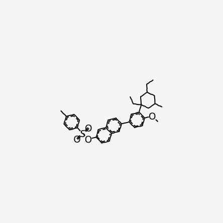 CCC1CC(C)CC(CC)(c2cc(-c3ccc4cc(OS(=O)(=O)c5ccc(C)cc5)ccc4c3)ccc2OC)C1